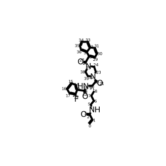 C=CC(=O)NCCCC[C@H](NC(=O)c1ccccc1F)C(=O)N1CCN(C(=O)c2cccc3ccccc23)CC1